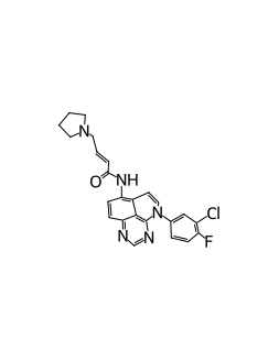 O=C(/C=C/CN1CCCC1)Nc1ccc2ncnc3c2c1C=CN3c1ccc(F)c(Cl)c1